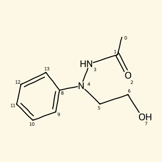 CC(=O)NN(CCO)c1ccccc1